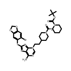 CC(C)(C)OC(=O)N1CCCC[C@H]1C(=O)N1CCC(CCn2cnc(N)c3nc(Sc4cc5c(cc4Br)OCO5)nc2-3)CC1